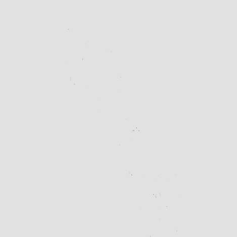 O=C(Cc1cc(O)c(C(CO)C(F)(F)F)cc1F)Nc1ccnc(C(=O)NC2(C(F)(F)F)CC2)c1